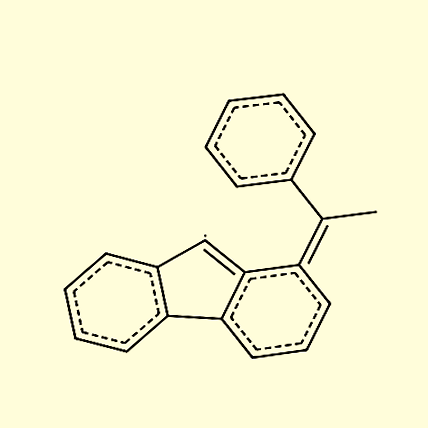 CC(c1ccccc1)=c1cccc2c1=[C]c1ccccc1-2